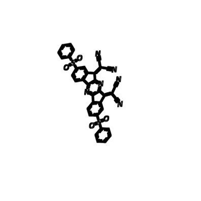 N#CC(C#N)=C1c2cc(S(=O)(=O)c3ccccc3)ccc2-c2nc3c(nc21)C(=C(C#N)C#N)c1cc(S(=O)(=O)c2ccccc2)ccc1-3